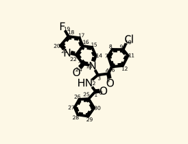 O=C(NC(C(=O)c1ccc(Cl)cc1)n1ccc2cc(F)cnc2c1=O)c1ccccc1